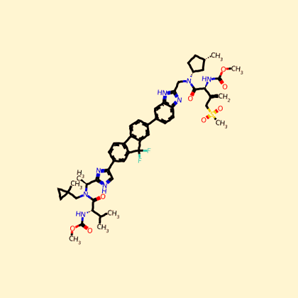 C=C(CS(C)(=O)=O)[C@H](NC(=O)OC)C(=O)N(Cc1nc2ccc(-c3ccc4c(c3)C(F)(F)c3cc(-c5c[nH]c([C@H](C)N(CC6(C)CC6)C(=O)[C@@H](NC(=O)OC)C(C)C)n5)ccc3-4)cc2[nH]1)[C@@H]1CC[C@H](C)C1